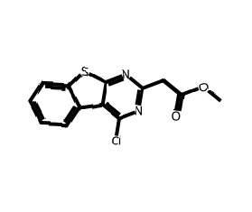 COC(=O)Cc1nc(Cl)c2c(n1)sc1ccccc12